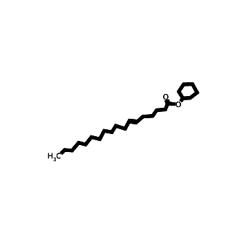 CCCCCCCCCCCC=CCCCCC(=O)OC1CCCCC1